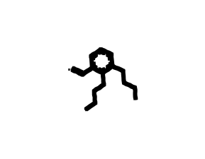 [CH]=Cc1cccc(CCCC)c1CCCC